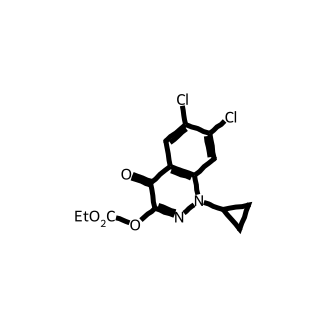 CCOC(=O)Oc1nn(C2CC2)c2cc(Cl)c(Cl)cc2c1=O